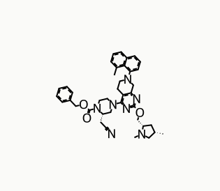 Cc1cccc2cccc(N3CCc4c(nc(OC[C@@H]5C[C@H](C)CN5C)nc4N4CCN(C(=O)OCc5ccccc5)[C@@H](CC#N)C4)C3)c12